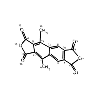 Cc1c2cc3c(=O)oc(=O)c3cc2c(C)c2c(=O)oc(=O)c12